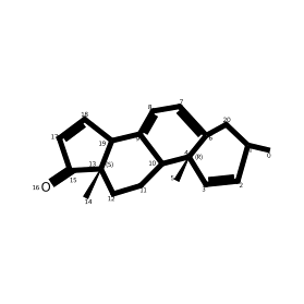 CC1C=C[C@@]2(C)C(=CC=C3C2CC[C@]2(C)C(=O)C=CC32)C1